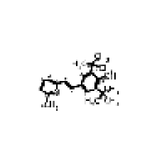 Cc1cccc(C=Cc2cc(C(C)(C)C)c(O)c(C(C)(C)C)c2)n1